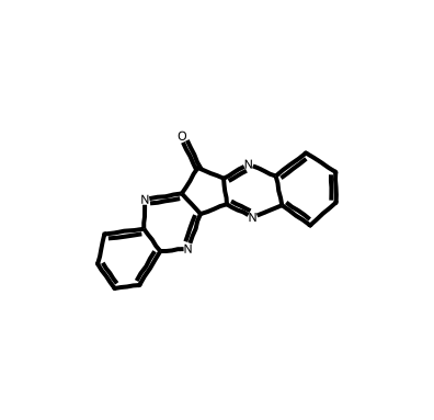 O=C1c2nc3ccccc3nc2-c2nc3ccccc3nc21